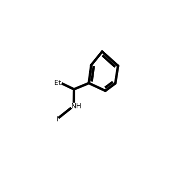 CCC(NI)c1ccccc1